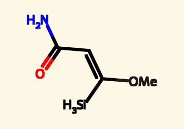 COC([SiH3])=CC(N)=O